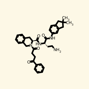 CC1(C)Cc2ccc(NC(=O)[C@H](CCN)NC(=O)[C@@H]3Cc4ccccc4CN3C(=O)CCC(=O)c3ccccc3)cc2C1